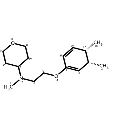 C[C@@H]1C=C(OCCN(C)C2CCOCC2)C=C[C@@H]1C